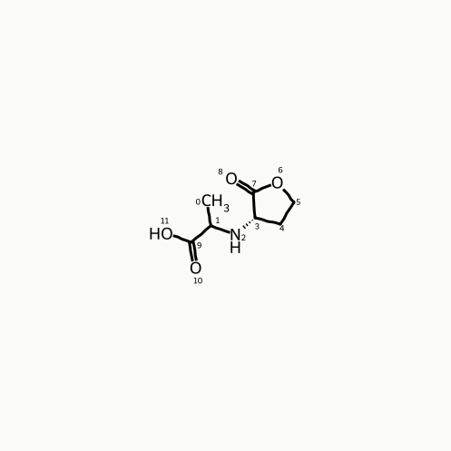 CC(N[C@H]1CCOC1=O)C(=O)O